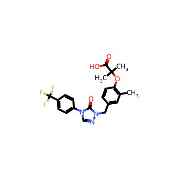 Cc1cc(Cn2ncn(-c3ccc(C(F)(F)F)cc3)c2=O)ccc1OC(C)(C)C(=O)O